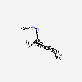 CCCCC/C=C\C/C=C\CCCCCCCCOC[C@@H](CN1CCC[C@H]1C)OCCOCCO[C@H]1CCC2C(=CCC3C2CCC2C3CC[C@]2(C)CCCCC(C)C)C1